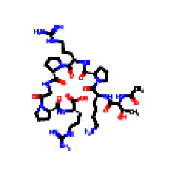 CC(=O)N[C@H](C(=O)N[C@@H](CCCCN)C(=O)N1CCC[C@H]1C(=O)N[C@@H](CCCNC(=N)N)C(=O)N1CCC[C@H]1C(=O)NCC(=O)N1CCC[C@H]1C(=O)N[C@@H](CCCNC(=N)N)C(=O)O)[C@@H](C)O